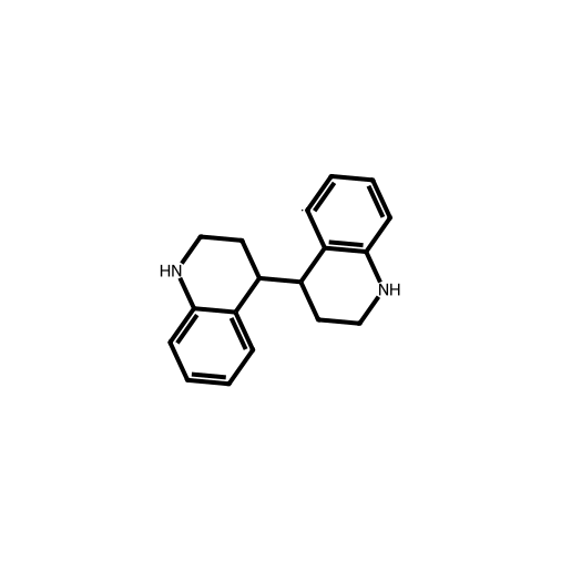 [c]1cccc2c1C(C1CCNc3ccccc31)CCN2